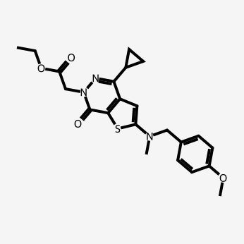 CCOC(=O)Cn1nc(C2CC2)c2cc(N(C)Cc3ccc(OC)cc3)sc2c1=O